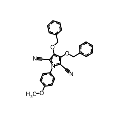 COc1ccc(-n2c(C#N)c(OCc3ccccc3)c(OCc3ccccc3)c2C#N)cc1